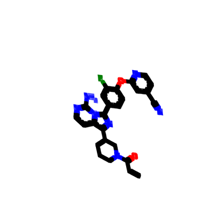 C=CC(=O)N1CCCC(c2nc(-c3ccc(Oc4cc(C#N)ccn4)c(F)c3)n3c(N)nccc23)C1